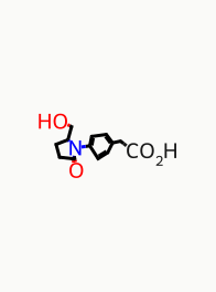 O=C(O)Cc1ccc(N2C(=O)CCC2CO)cc1